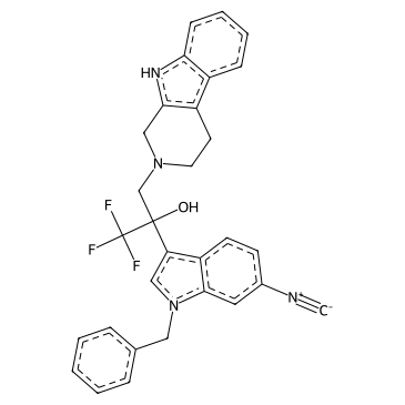 [C-]#[N+]c1ccc2c(C(O)(CN3CCc4c([nH]c5ccccc45)C3)C(F)(F)F)cn(Cc3ccccc3)c2c1